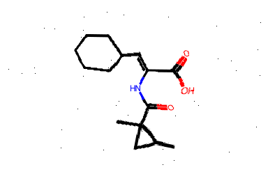 CC1CC1(C)C(=O)NC(=CC1CCCCC1)C(=O)O